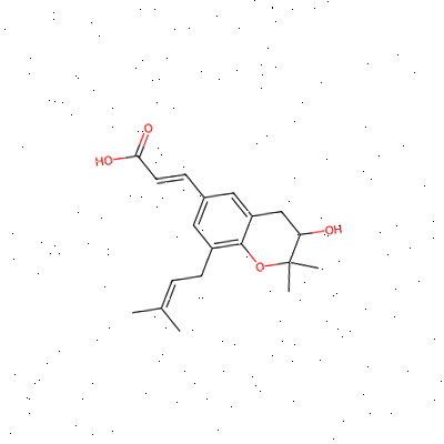 CC(C)=CCc1cc(/C=C/C(=O)O)cc2c1OC(C)(C)C(O)C2